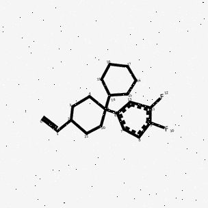 C=CC1CCC(c2ccc(F)c(F)c2)(C2CCCCC2)CC1